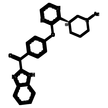 CC(=O)N1CCC[C@H](c2nccnc2Oc2ccc(C(=O)c3nc4ccccc4[nH]3)cc2)C1